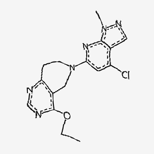 CCOc1ncnc2c1CN(c1cc(Cl)c3cnn(C)c3n1)CC2